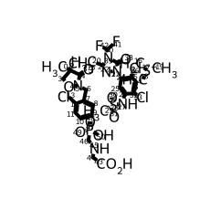 CC1(C)CON(Cc2ccccc2Cl)C1=O.C[S+](C)C.Cc1nn(-c2cc(NS(C)(=O)=O)c(Cl)cc2Cl)c(=O)n1C(F)F.O=C(O)CNCP(=O)([O-])O